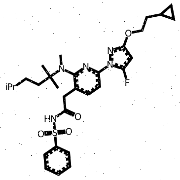 CC(C)CCC(C)(C)N(C)c1nc(-n2nc(OCCC3CC3)cc2F)ccc1CC(=O)NS(=O)(=O)c1ccccc1